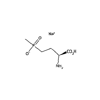 CP(=O)([O-])CC[C@H](N)C(=O)O.[Na+]